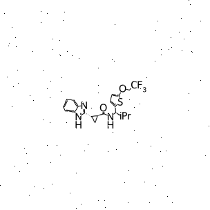 CC(C)[C@@H](NC(=O)[C@H]1C[C@@H]1c1nc2ccccc2[nH]1)c1ccc(OCC(F)(F)F)s1